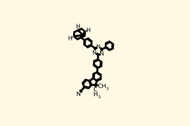 CC1(C)c2ccc(-c3ccc(-c4nc(-c5ccccc5)nc(-c5ccc(C67C[C@H]8C[C@H](C6)C[C@@H](C7)C8)cc5)n4)cc3)cc2-c2ccc(C#N)cc21